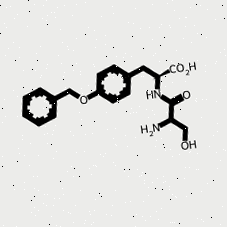 NC(CO)C(=O)N[C@@H](Cc1ccc(OCc2ccccc2)cc1)C(=O)O